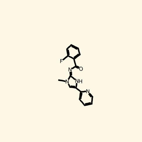 Cn1cc(-c2ccccn2)[nH]/c1=N\C(=O)c1ccccc1F